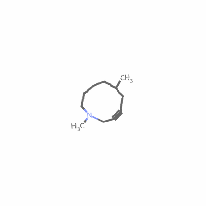 CC1CC#CCN(C)CCCC1